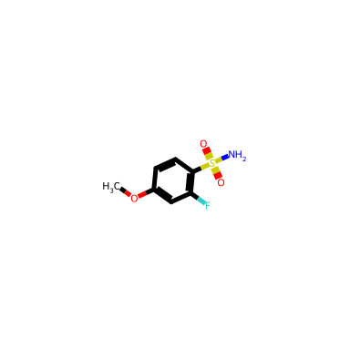 COc1ccc(S(N)(=O)=O)c(F)c1